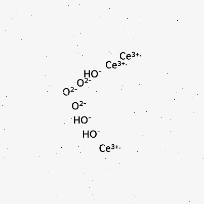 [Ce+3].[Ce+3].[Ce+3].[O-2].[O-2].[O-2].[OH-].[OH-].[OH-]